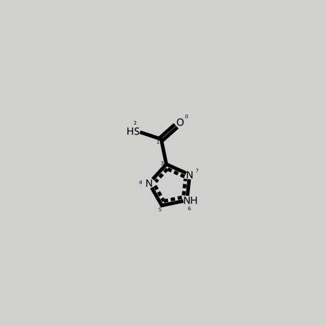 O=C(S)c1nc[nH]n1